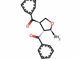 B[C@@H]1OC[C@H](C(=O)c2ccccc2)[C@H]1C(=O)c1ccccc1